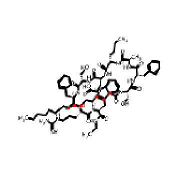 CCCCCCCCCCCCCCCC(=O)N[C@@H](CO)C(=O)N[C@@H](Cc1ccccc1)C(=O)N[C@@H](C)C(=O)N[C@@H](CCCC)C(=O)N[C@@H](CCC(=O)O)C(=O)N[C@@H](CO)C(=O)N[C@H](Cc1ccccc1)C(=O)N[C@@H](CCCNC(=N)N)C(=O)N[C@@H](Cc1c[nH]c2ccccc12)C(=O)NCC